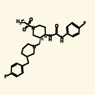 CS(=O)(=O)N1CC[C@@H](NC(=O)Nc2ccc(F)cc2)[C@H](CN2CCCC(Cc3ccc(F)cc3)C2)C1